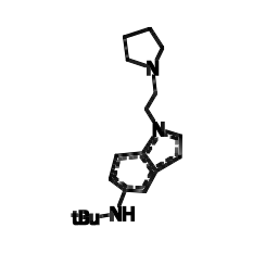 CC(C)(C)Nc1ccc2c(ccn2CCN2CCCC2)c1